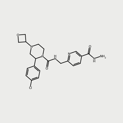 NNC(=O)c1ccc(CNC(=O)N2CCN(C3COC3)CC2c2ccc(Cl)cc2)nc1